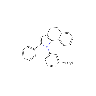 O=C(O)c1cccc(-n2c(-c3ccccc3)cc3c2-c2ccccc2CC3)c1